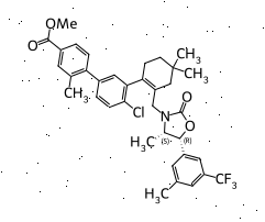 COC(=O)c1ccc(-c2ccc(Cl)c(C3=C(CN4C(=O)O[C@H](c5cc(C)cc(C(F)(F)F)c5)[C@@H]4C)CC(C)(C)CC3)c2)c(C)c1